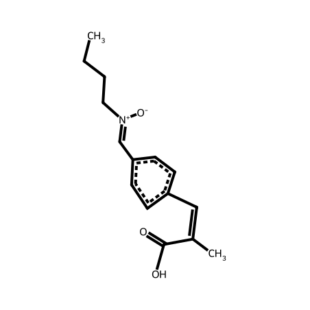 CCCC[N+]([O-])=Cc1ccc(C=C(C)C(=O)O)cc1